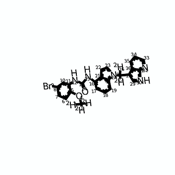 [2H]C([2H])([2H])Oc1ccc(Br)cc1NC(=O)Nc1cccc2c1ccn2C([2H])([2H])c1c[nH]c2ncccc12